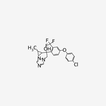 C[C@@H]1CC1C(O)(Cn1cncn1)c1ccc(Oc2ccc(Cl)cc2)cc1C(F)(F)F